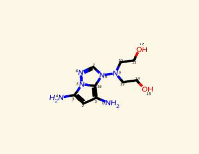 Nc1cc(N)n2ncn(N(CCO)CCO)c12